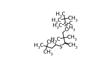 C=C(SCCC(C)(C)C)C(C)(C)CO[Si](C)(C)C(C)(C)C